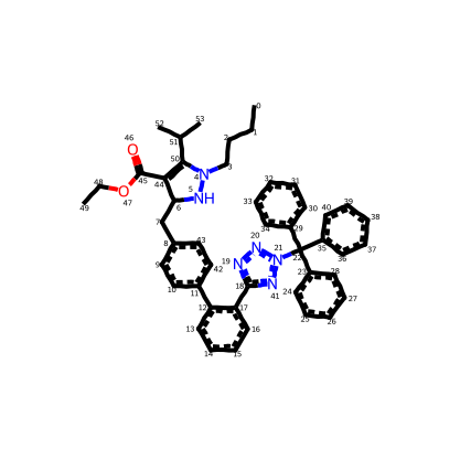 CCCCN1NC(Cc2ccc(-c3ccccc3-c3nnn(C(c4ccccc4)(c4ccccc4)c4ccccc4)n3)cc2)C(C(=O)OCC)=C1C(C)C